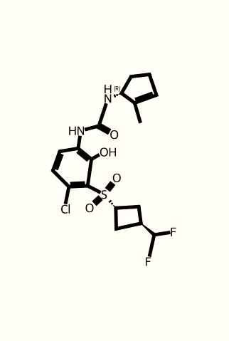 CC1=CCC[C@H]1NC(=O)Nc1ccc(Cl)c(S(=O)(=O)[C@H]2C[C@H](C(F)F)C2)c1O